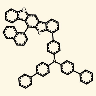 c1ccc(-c2ccc(N(c3ccc(-c4ccccc4)cc3)c3ccc(-c4cccc5c4oc4c(-c6cccc7ccccc67)c6c(cc45)oc4ccccc46)cc3)cc2)cc1